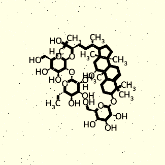 CC[C@@H]1O[C@H](O[C@H]2[C@H](O[C@H](CC[C@@H](C)C3CC[C@@]4(C)C5CC=C6C(CC[C@H](O[C@@H]7O[C@H](CO)[C@@H](O)[C@H](O)[C@H]7O)C6(C)C)[C@]5(C)[C@H](O)C[C@]34C)C(C)(C)O)O[C@H](CO)[C@@H](O)[C@@H]2O)[C@@H](O)[C@H](O)[C@H]1O